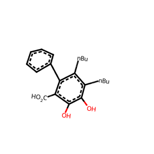 CCCCc1c(O)c(O)c(C(=O)O)c(-c2ccccc2)c1CCCC